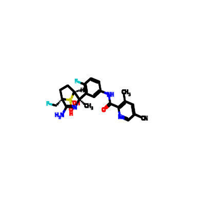 Cc1cc(C#N)cnc1C(=O)Nc1ccc(F)c([C@@]2(C)N=C(N)[C@@]3(CF)CC[C@@H]2S3(O)O)c1